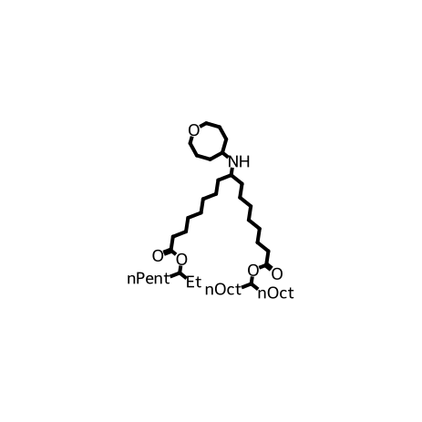 CCCCCCCCC(CCCCCCCC)OC(=O)CCCCCCCC(CCCCCCCC(=O)OC(CC)CCCCC)NC1CCCOCCC1